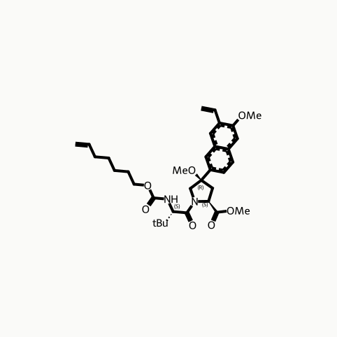 C=CCCCCCOC(=O)N[C@H](C(=O)N1C[C@](OC)(c2ccc3cc(OC)c(C=C)cc3c2)C[C@H]1C(=O)OC)C(C)(C)C